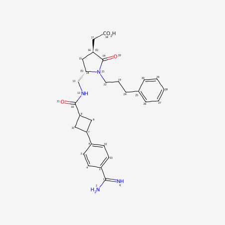 N=C(N)c1ccc(C2CC(C(=O)NC[C@@H]3C[C@@H](CC(=O)O)C(=O)N3CCCc3ccccc3)C2)cc1